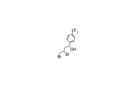 OC(CC(Br)CBr)c1ccc(C(F)(F)F)cc1